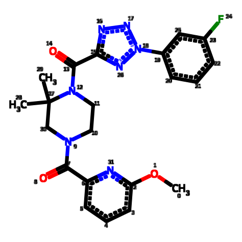 COc1cccc(C(=O)N2CCN(C(=O)c3nnn(-c4cccc(F)c4)n3)C(C)(C)C2)n1